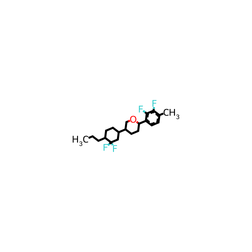 CCCC1CCC(C2CCC(c3ccc(C)c(F)c3F)OC2)CC1(F)F